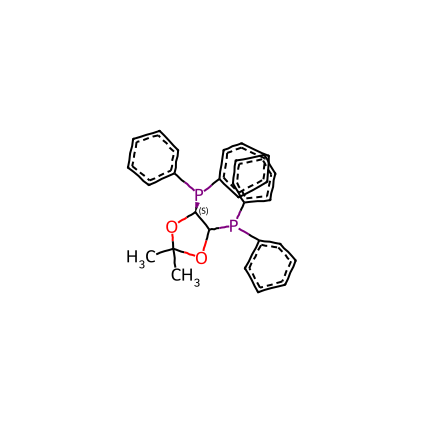 CC1(C)OC(P(c2ccccc2)c2ccccc2)[C@H](P(c2ccccc2)c2ccccc2)O1